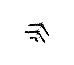 CCCCCCCCCCOP(=S)([S-])OCCCCCCCCCC.CCCCCCCCCCOP(=S)([S-])OCCCCCCCCCC.CCC[CH2][Sn+2][CH2]CCC